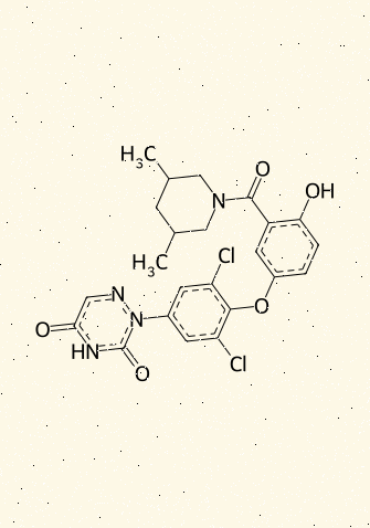 CC1CC(C)CN(C(=O)c2cc(Oc3c(Cl)cc(-n4ncc(=O)[nH]c4=O)cc3Cl)ccc2O)C1